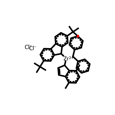 Cc1ccc(C)c2c1C=C[CH]2[Zr+2](=[C](c1ccccc1)c1ccccc1)[CH]1c2cc(C(C)(C)C)ccc2-c2ccc(C(C)(C)C)cc21.[Cl-].[Cl-]